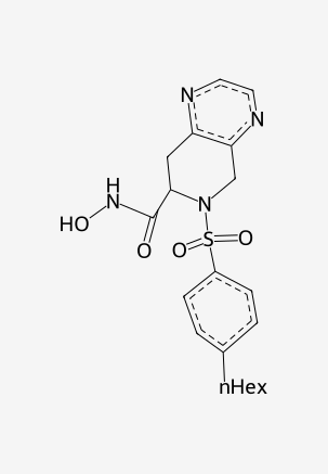 CCCCCCc1ccc(S(=O)(=O)N2Cc3nccnc3CC2C(=O)NO)cc1